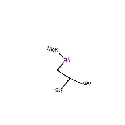 CNPCC(C(C)(C)C)C(C)(C)C